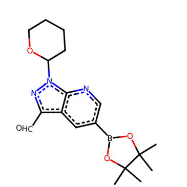 CC1(C)OB(c2cnc3c(c2)c(C=O)nn3C2CCCCO2)OC1(C)C